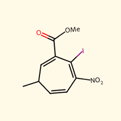 COC(=O)C1=CC(C)C=CC([N+](=O)[O-])=C1I